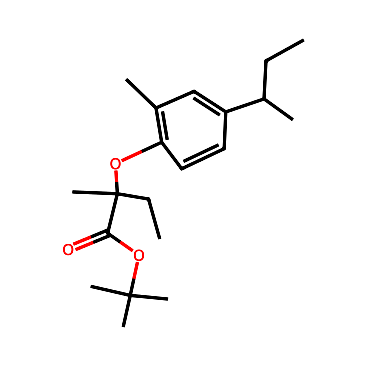 CCC(C)c1ccc(OC(C)(CC)C(=O)OC(C)(C)C)c(C)c1